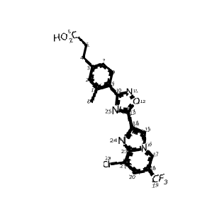 Cc1cc(CCC(=O)O)ccc1-c1noc(-c2cn3cc(C(F)(F)F)cc(Cl)c3n2)n1